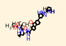 COC(=O)N[C@H](C(=O)N1CC2(CC2)C[C@H]1c1nc(-c2ccc3c(c2)C(=O)c2cc(-c4ccc5[nH]c([C@H]6N[C@@H]7CC[C@H]6C7)nc5c4)ccc2-3)c[nH]1)C(C)C